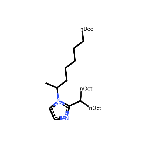 CCCCCCCCCCCCCCCC(C)n1ccnc1C(CCCCCCCC)CCCCCCCC